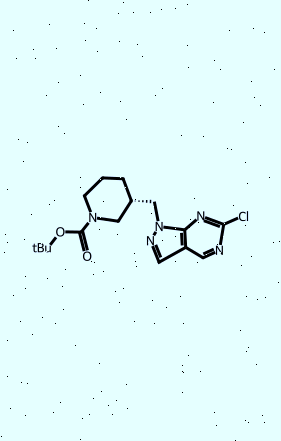 CC(C)(C)OC(=O)N1CCC[C@H](Cn2ncc3cnc(Cl)nc32)C1